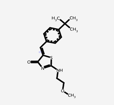 COCCNC1=NC(=O)/C(=C/c2ccc(C(C)(C)C)cc2)S1